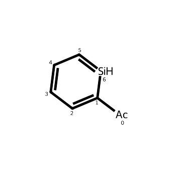 CC(=O)c1cccc[siH]1